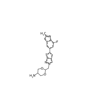 Cn1cc2cc(-c3cc4cn(CC5OCC(N)CO5)nc4s3)cc(F)c2n1